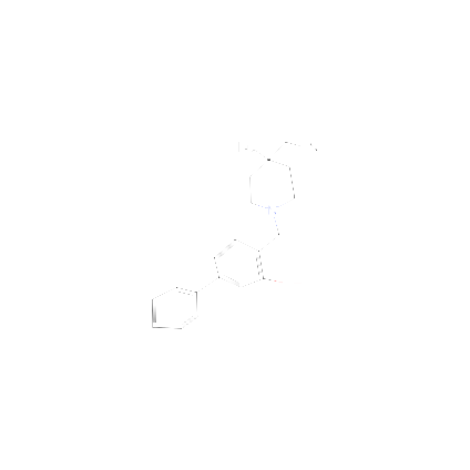 CC(C)(C)C1(CC#N)CCN(Cc2ccc(-c3ccccc3)cc2O)CC1